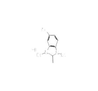 CCN1c2ccc(C(C)=O)cc2N(CC)C1C.I